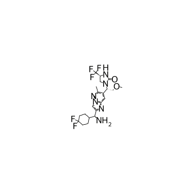 COC[C@H](c1cc2nc([C@@H](N)C3CCC(F)(F)CC3)cn2nc1C)N1C[C@@H](C(F)(F)F)NC1=O